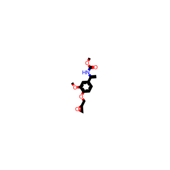 C=C(NC(=O)OC)c1ccc(OCC2CO2)c(OC)c1